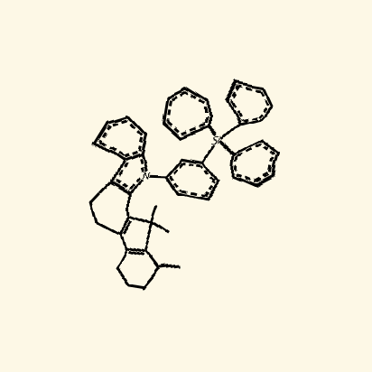 CC1CCCC2=C1C(C)(C)C1=C2CCc2c1n(-c1cccc([Si](c3ccccc3)(c3ccccc3)c3ccccc3)c1)c1ccccc21